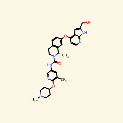 C[C@H]1c2cc(Oc3ccnc4[nH]c(CO)cc34)ccc2CCN1C(=O)Nc1cnc(OC2CCN(C)CC2)c(C(F)(F)F)c1